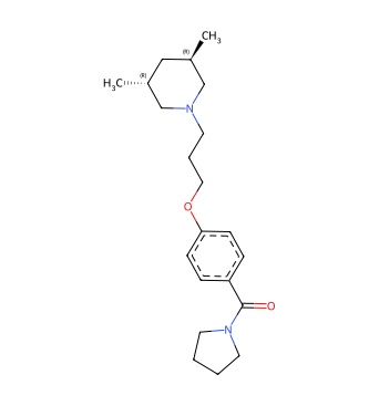 C[C@@H]1C[C@@H](C)CN(CCCOc2ccc(C(=O)N3CCCC3)cc2)C1